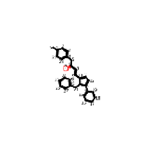 Cc1ccc(CC(=O)CCC2=CC=C(c3ccccc3)C2Cc2ccccc2)cc1